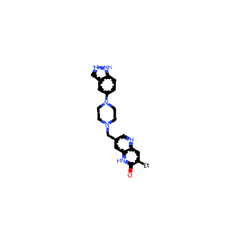 CCc1cc2ncc(CN3CCN(c4ccc5[nH]ncc5c4)CC3)cc2[nH]c1=O